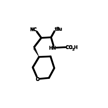 CC(C)(C)C(NC(=O)O)C(C#N)C[C@@H]1CCCOC1